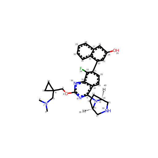 CN(C)CC1(COc2nc(N3[C@@H]4CC[C@H]3CNC4)c3ccc(-c4cc(O)cc5ccccc45)c(F)c3n2)CC1